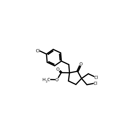 COC(=O)C1(Cc2ccc(Cl)cc2)CCC(CCl)(CCl)C1=O